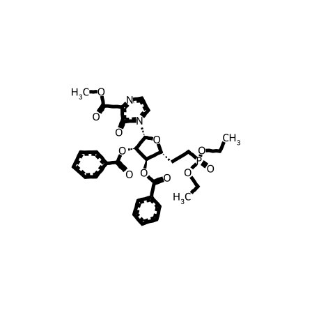 CCOP(=O)(CC[C@H]1O[C@@H](n2ccnc(C(=O)OC)c2=O)[C@@H](OC(=O)c2ccccc2)[C@@H]1OC(=O)c1ccccc1)OCC